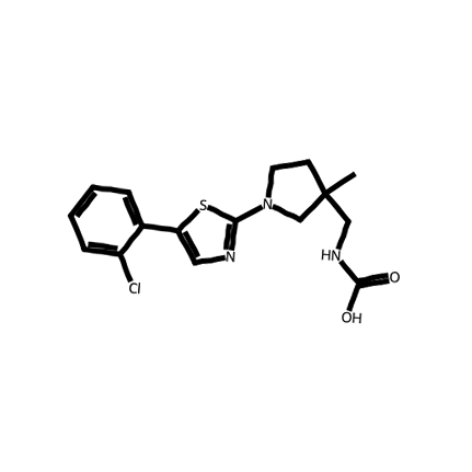 CC1(CNC(=O)O)CCN(c2ncc(-c3ccccc3Cl)s2)C1